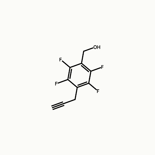 C#CCc1c(F)c(F)c(CO)c(F)c1F